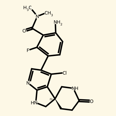 CN(C)C(=O)c1c(N)ccc(-c2cnc3c(c2Cl)[C@@]2(CCC(=O)NC2)CN3)c1F